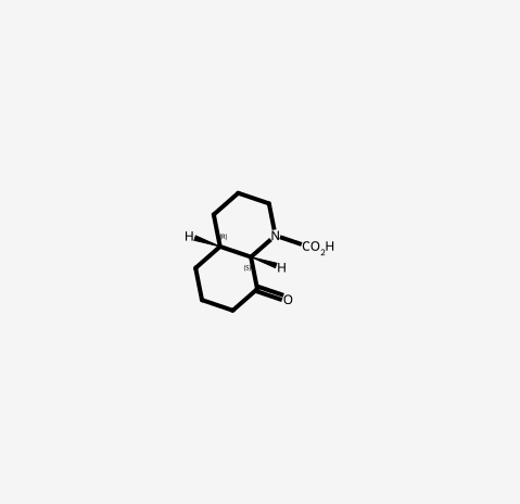 O=C1CCC[C@@H]2CCCN(C(=O)O)[C@H]12